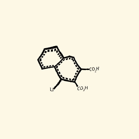 [Li][c]1c(C(=O)O)c(C(=O)O)cc2ccccc12